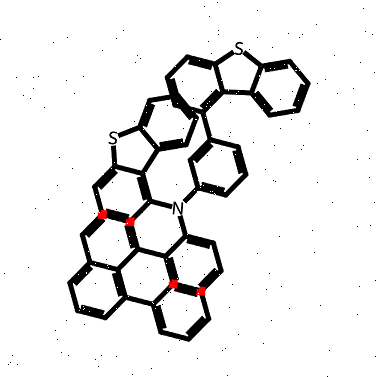 c1ccc(-c2cccc3cccc(-c4ccccc4N(c4cccc(-c5cccc6sc7ccccc7c56)c4)c4cccc5sc6ccccc6c45)c23)cc1